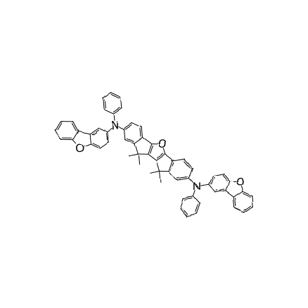 CC1(C)c2cc(N(c3ccccc3)c3ccc4oc5ccccc5c4c3)ccc2-c2oc3c(c21)C(C)(C)c1cc(N(c2ccccc2)c2ccc4oc5ccccc5c4c2)ccc1-3